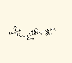 CO[C@@H](C[C@@H]1CC[C@@H](C)[C@](O)(C(=O)C(=O)N2CCCC[C@H]2C(=O)CC[C@H](C)CC2CC[C@@H](OC(=O)CN)[C@H](OC)C2)C1)/C(C)=C/C=C/C=C/[C@@H](C)C[C@@H](C)C(=O)[C@H](OC)[C@H](O)/C(C)=C/[C@@H](C)C(C)=O